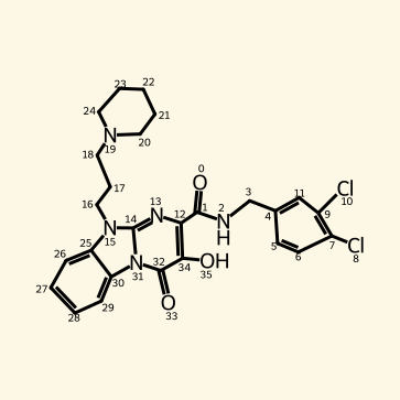 O=C(NCc1ccc(Cl)c(Cl)c1)c1nc2n(CCCN3CCCCC3)c3ccccc3n2c(=O)c1O